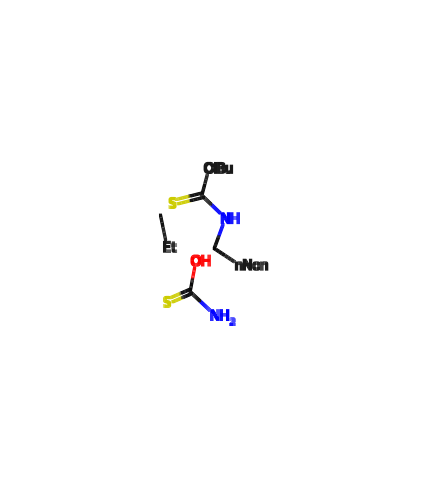 CCC.CCCCCCCCCCNC(=S)OCC(C)C.NC(O)=S